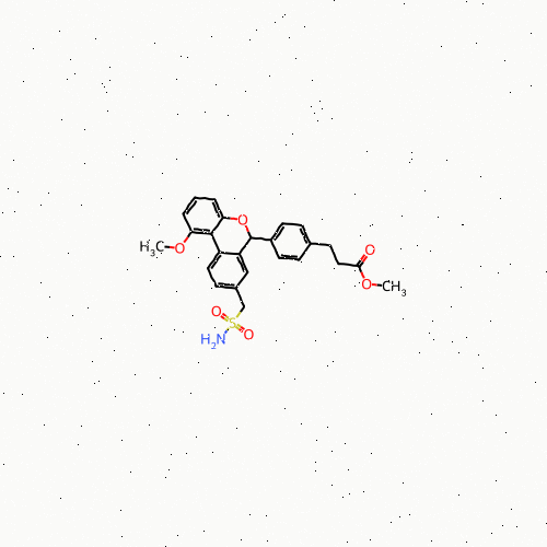 COC(=O)CCc1ccc(C2Oc3cccc(OC)c3-c3ccc(CS(N)(=O)=O)cc32)cc1